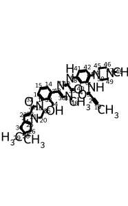 CC#CC(=O)Nc1cc(Nc2nc(-c3cccc(N4CCn5c(cc6c5CC(C)(C)C6)C4=O)c3CO)cn(C)c2=O)ccc1N1CCN(C)CC1